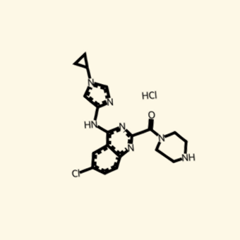 Cl.O=C(c1nc(Nc2cn(C3CC3)cn2)c2cc(Cl)ccc2n1)N1CCNCC1